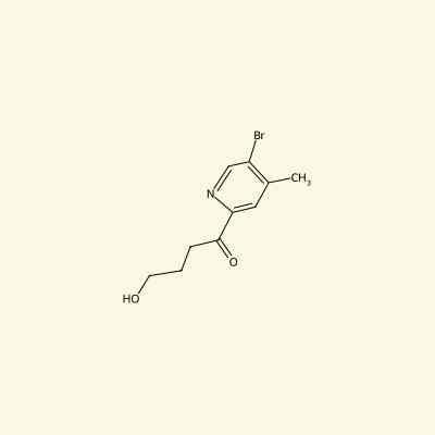 Cc1cc(C(=O)CCCO)ncc1Br